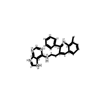 Cc1cccc2cc(CCNc3ncnc4nc[nH]c34)c(-c3ccccc3)nc12